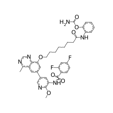 COc1ncc(-c2cc(OCCCCCCCC(=O)Nc3ccccc3OC(N)=O)c3ncnc(C)c3c2)cc1NS(=O)(=O)c1ccc(F)cc1F